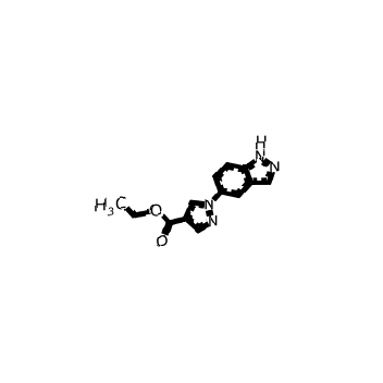 CCOC(=O)c1cnn(-c2ccc3[nH]ncc3c2)c1